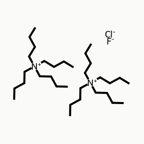 CCCC[N+](CCCC)(CCCC)CCCC.CCCC[N+](CCCC)(CCCC)CCCC.[Cl-].[F-]